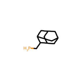 PCC1C2CC3CC(C2)CC1C3